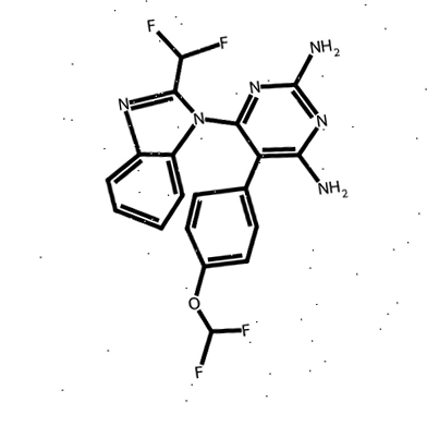 Nc1nc(N)c(-c2ccc(OC(F)F)cc2)c(-n2c(C(F)F)nc3ccccc32)n1